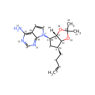 C=CCC[C@H]1C[C@@H](n2ccc3c(N)ncnc32)[C@@H]2OC(C)(C)OC12